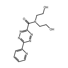 O=C(c1nnc(-c2ccccn2)nn1)N(CCO)CCO